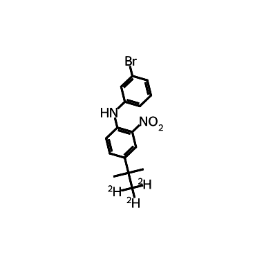 [2H]C([2H])([2H])C(C)(C)c1ccc(Nc2cccc(Br)c2)c([N+](=O)[O-])c1